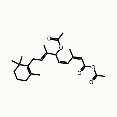 CC(=O)OC(=O)/C=C(C)\C=C/C(OC(C)=O)/C(C)=C/CC1=C(C)CCCC1(C)C